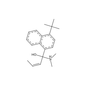 C/C=C\C(O)(c1ccc(C(C)(C)C)c2ccccc12)[SiH](C)C